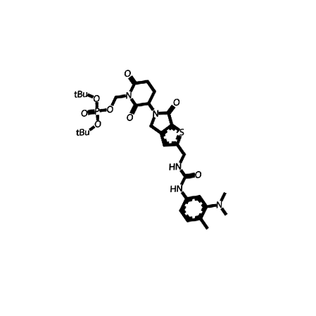 Cc1ccc(NC(=O)NCc2cc3c(s2)C(=O)N(C2CCC(=O)N(COP(=O)(OC(C)(C)C)OC(C)(C)C)C2=O)C3)cc1N(C)C